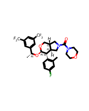 Cc1cc(F)ccc1[C@@H]1[C@@H](O[C@H](C)c2cc(C(F)(F)F)cc(C(F)(F)F)c2)OC[C@@H]2CN(C(=O)N3CCOCC3)C[C@H]21